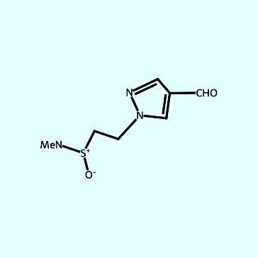 CN[S+]([O-])CCn1cc(C=O)cn1